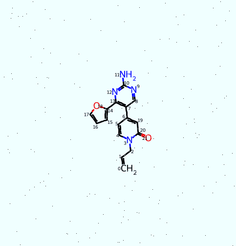 C=CCn1ccc(-c2cnc(N)nc2-c2ccco2)cc1=O